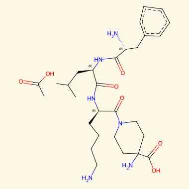 CC(=O)O.CC(C)C[C@@H](NC(=O)[C@H](N)Cc1ccccc1)C(=O)N[C@H](CCCCN)C(=O)N1CCC(N)(C(=O)O)CC1